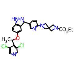 CCOC(=O)N1CC2(C1)CN(c1ccc(-c3n[nH]c4ccc(O[C@H](C)c5c(Cl)cncc5Cl)cc34)cn1)C2